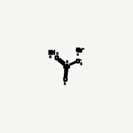 [KH].[O]=[Nb](=[O])[O-].[Rb+]